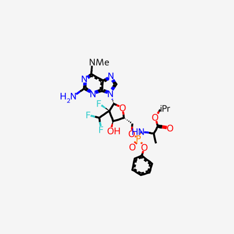 CNc1nc(N)nc2c1ncn2[C@@H]1O[C@H](CO[P@](=O)(NC(C)C(=O)OC(C)C)Oc2ccccc2)[C@@H](O)[C@]1(F)C(F)F